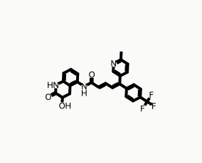 Cc1ccc(/C(=C\C=C\C(=O)Nc2cccc3c2CC(O)C(=O)N3)c2ccc(C(F)(F)F)cc2)cn1